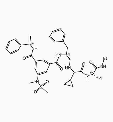 CCNC(=O)[C@@H](NC(=O)C(NC[C@H](Cc1ccccc1)NC(=O)c1cc(C(=O)N[C@H](C)c2ccccc2)cc(N(C)S(C)(=O)=O)c1)C1CC1)C(C)C